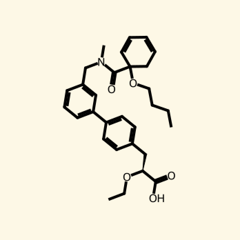 CCCCOC1(C(=O)N(C)Cc2cccc(-c3ccc(C[C@H](OCC)C(=O)O)cc3)c2)C=CC=CC1